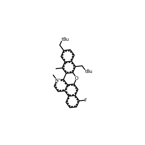 Cc1c2c(c(CC(C)(C)C)c3ccc(CC(C)(C)C)cc13)Oc1cc3c(F)cccc3c3cc[n+](C)c-2c13